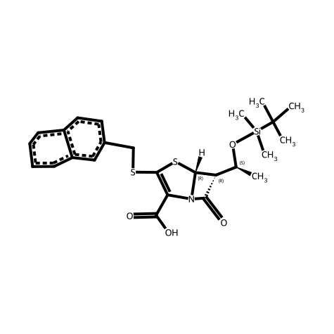 C[C@H](O[Si](C)(C)C(C)(C)C)[C@@H]1C(=O)N2C(C(=O)O)=C(SCc3ccc4ccccc4c3)S[C@H]12